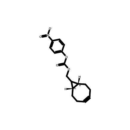 O=C(OCC1[C@H]2CCC#CCC[C@@H]12)Oc1ccc([N+](=O)[O-])cc1